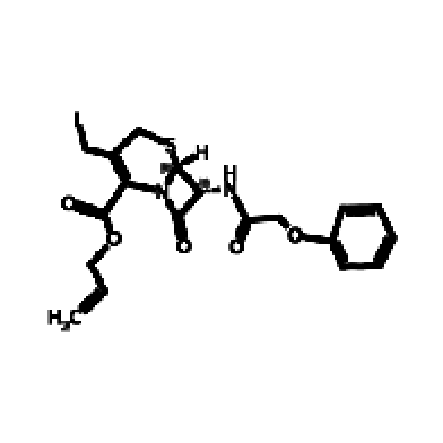 C=CCOC(=O)C1=C(CI)CS[C@@H]2[C@H](NC(=O)COc3ccccc3)C(=O)N12